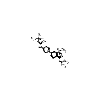 CC(C)(C)OC(=O)NC1CCN(c2ccc(C(=O)N=C(N)N)c(S(C)(=O)=O)c2)CC1